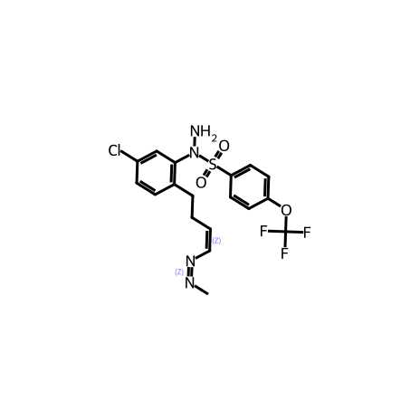 C/N=N\C=C/CCc1ccc(Cl)cc1N(N)S(=O)(=O)c1ccc(OC(F)(F)F)cc1